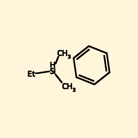 CC[SiH](C)C.c1ccccc1